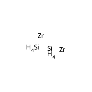 [SiH4].[SiH4].[Zr].[Zr]